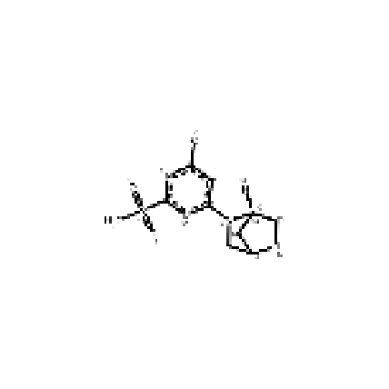 CS(=O)(=O)c1nc(Cl)cc(N2CC3C[C@H]2CO3)n1